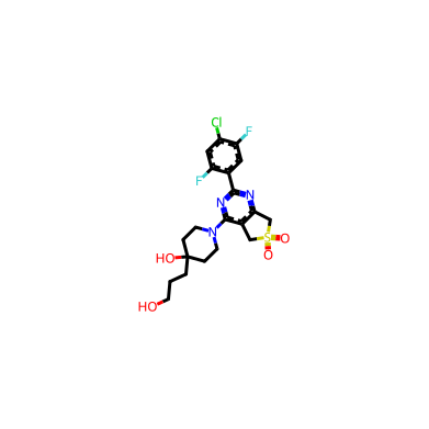 O=S1(=O)Cc2nc(-c3cc(F)c(Cl)cc3F)nc(N3CCC(O)(CCCO)CC3)c2C1